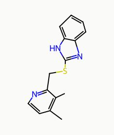 Cc1ccnc(CSc2nc3ccccc3[nH]2)c1C